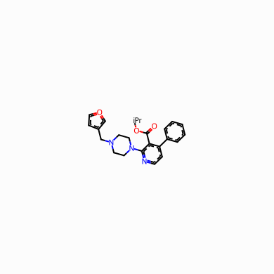 CC(C)OC(=O)c1c(-c2ccccc2)ccnc1N1CCN(Cc2ccoc2)CC1